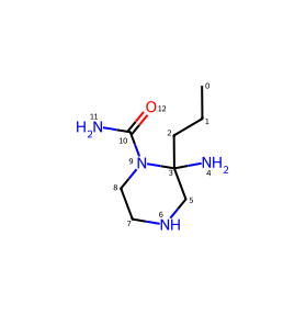 CCCC1(N)CNCCN1C(N)=O